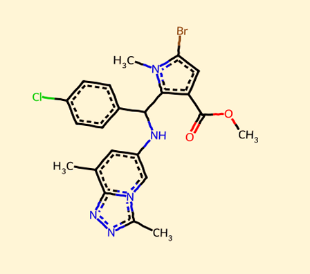 COC(=O)c1cc(Br)n(C)c1C(Nc1cc(C)c2nnc(C)n2c1)c1ccc(Cl)cc1